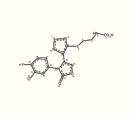 O=C(O)NCCSc1nsnc1-c1noc(=O)n1-c1ccc(F)c(Cl)c1